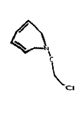 ClCCN1C=CC=CC1